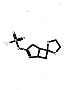 O=S(=O)(OC1=CC2CC3(OCCO3)C2C1)C(F)(F)F